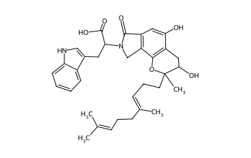 CC(C)=CCC/C(C)=C/CCC1(C)Oc2c(c(O)cc3c2CN(C(Cc2c[nH]c4ccccc24)C(=O)O)C3=O)CC1O